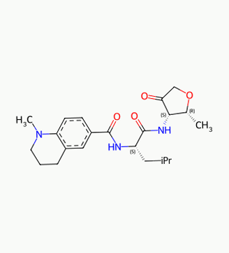 CC(C)C[C@H](NC(=O)c1ccc2c(c1)CCCN2C)C(=O)N[C@@H]1C(=O)CO[C@@H]1C